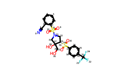 N#Cc1ccccc1S(=O)(=O)N1C[C@H](S(=O)(=O)c2ccc(C(F)(F)F)cc2)[C@](O)(CO)C1